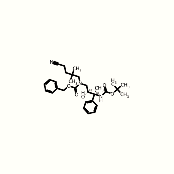 CC(C)(CCC#N)CN(C[C@@H](O)[C@@](C)(NC(=O)OC(C)(C)C)c1ccccc1)C(=O)OCc1ccccc1